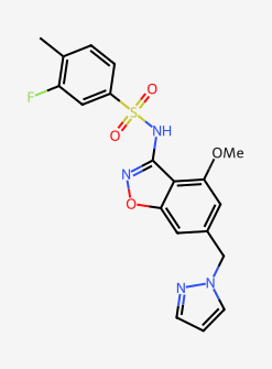 COc1cc(Cn2cccn2)cc2onc(NS(=O)(=O)c3ccc(C)c(F)c3)c12